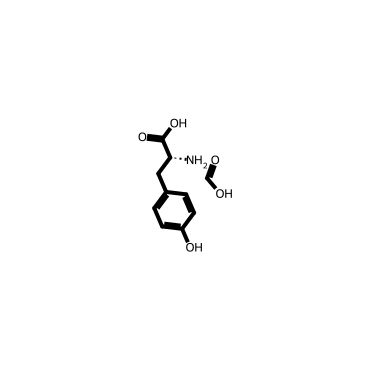 N[C@H](Cc1ccc(O)cc1)C(=O)O.O=CO